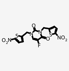 O=c1c(F)cn(Cc2ccc([N+](=O)[O-])s2)c(=O)n1Cc1ccc([N+](=O)[O-])s1